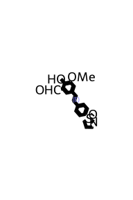 COc1cc(/C=C/c2ccc(S3(=O)=NCCC3)cc2)cc(C=O)c1O